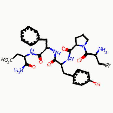 CC(C)CC(N)C(=O)N1CCCC1C(=O)NC(Cc1ccc(O)cc1)C(=O)NC(Cc1ccccc1)C(=O)NC(CC(=O)O)C(N)=O